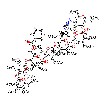 COCC1O[C@@H](O[C@@H]2C(COC(C)=O)OC(OC(C)=O)[C@@H](N=[N+]=[N-])C2OC)C(OC)C(OC)[C@@H]1O[C@H]1OC(COC)[C@@H](O[C@@H]2OC(COC)[C@@H](O[C@@H]3OC(COC(=O)c4ccccc4)[C@@H](O[C@@H]4OC(COC(C)=O)[C@@H](O[C@H]5OC(COC(C)=O)[C@H](OC(C)=O)C(OC(C)=O)C5OC(C)=O)C(OC(C)=O)C4OC(C)=O)C(OC)[C@@H]3OC)C(OC)[C@@H]2OC)C(OC)C1OC